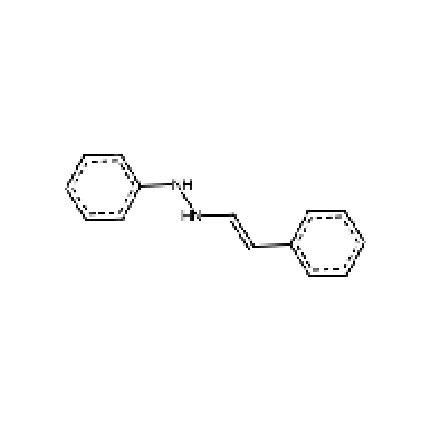 C(=Cc1ccccc1)NNc1ccccc1